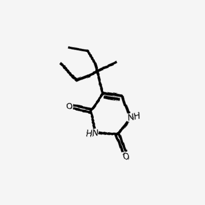 CCC(C)(CC)c1c[nH]c(=O)[nH]c1=O